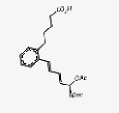 CCCCCCCCCC[C@@H](/C=C/C=C/c1ccccc1CCCCC(=O)O)OC(C)=O